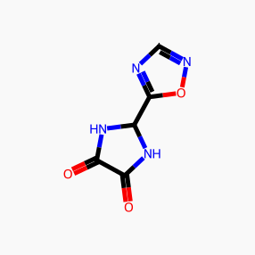 O=C1NC(c2n[c]no2)NC1=O